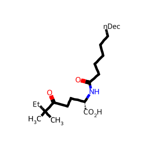 CCCCCCCCCCCCCCCC(=O)N[C@@H](CCC(=O)C(C)(C)CC)C(=O)O